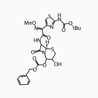 CON=C(C(=O)N[C@@H]1C(=O)N2C(OC(=O)OCc3ccccc3)C(O)CS[C@@H]12)c1csc(NC(=O)OC(C)(C)C)n1